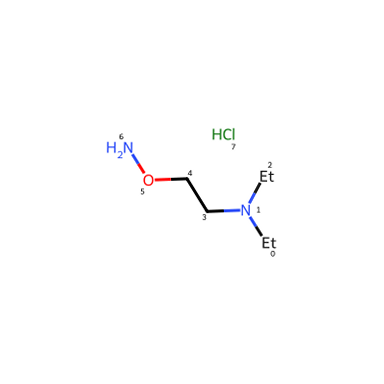 CCN(CC)CCON.Cl